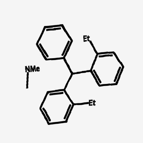 CCc1ccccc1C(c1ccccc1)c1ccccc1CC.CNC